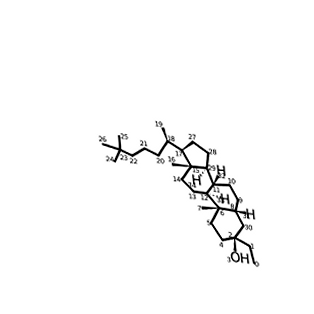 CC[C@]1(O)CC[C@@]2(C)[C@H](CC[C@@H]3[C@@H]2CC[C@]2(C)[C@@H]([C@H](C)CCCC(C)(C)C)CC[C@@H]32)C1